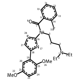 CCN(CC)CCCN(C(=O)c1ccccc1F)c1nc(-c2cc(OC)ccc2OC)cs1